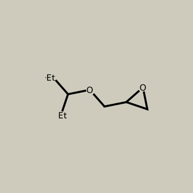 C[CH]C(CC)OCC1CO1